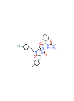 CNC(C)C(=O)N[C@H](C(=O)N1CC(=O)N2[C@@H]1CN(CCc1ccc(Cl)cc1)C(=O)[C@@H]2Cc1ccc(C)cc1)C1CCCCC1